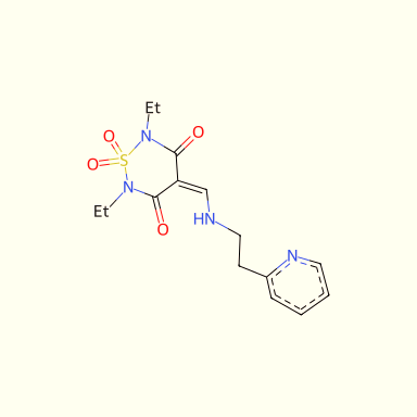 CCN1C(=O)C(=CNCCc2ccccn2)C(=O)N(CC)S1(=O)=O